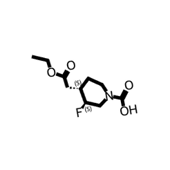 CCOC(=O)C[C@@H]1CCN(C(=O)O)C[C@H]1F